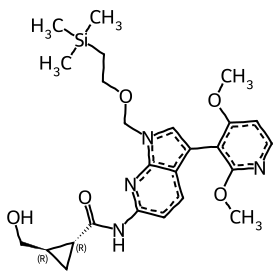 COc1ccnc(OC)c1-c1cn(COCC[Si](C)(C)C)c2nc(NC(=O)[C@@H]3C[C@H]3CO)ccc12